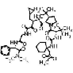 CN(C)C(=O)[C@@H](NC(=O)CNC(=O)C(=O)C(CC1CC1)NC(=O)[C@@H]1[C@@H](C(C)(C)C)CCN1C(=O)[C@@H](NC(=O)NC1(CS(C)(=O)=O)CCCCC1)C(C)(C)C)c1ccccc1